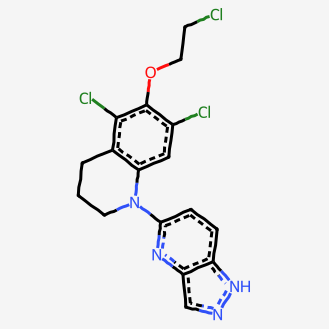 ClCCOc1c(Cl)cc2c(c1Cl)CCCN2c1ccc2[nH]ncc2n1